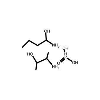 CC(N)C(C)O.CCCC(N)O.O=[PH](O)O